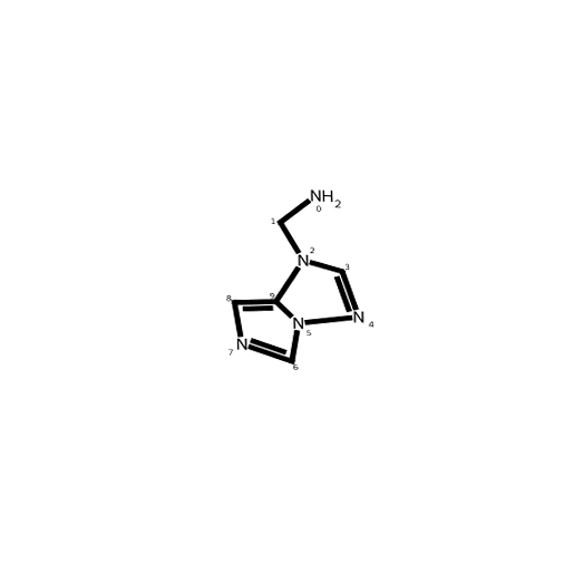 NCn1cnn2cncc12